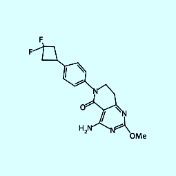 COc1nc(N)c2c(n1)CCN(c1ccc(C3CC(F)(F)C3)cc1)C2=O